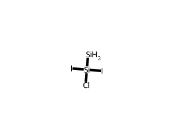 [SiH3][Si](Cl)(I)I